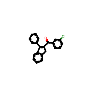 O=C(C1=C(c2ccccc2)c2ccccc2C1)c1cccc(Cl)c1